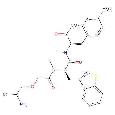 CCC(N)COCC(=O)N(C)[C@H](Cc1csc2ccccc12)C(=O)N(C)[C@H](Cc1ccc(OC)cc1)C(=O)NC